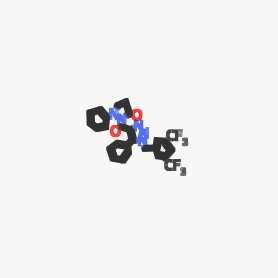 O=C1CCN(c2ccccc2)N1C(=O)c1nnn(Cc2cc(C(F)(F)F)cc(C(F)(F)F)c2)c1-c1ccccc1